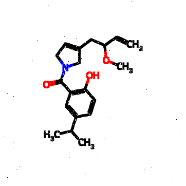 C=CC(CC1=CCN(C(=O)c2cc(C(C)C)ccc2O)C1)OC